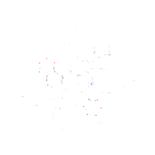 Cc1cccc(-c2cc(-c3ccccc3)cc(F)c2N(c2cc3c(c4ccccc24)-c2c(ccc4ccccc24)C3(C)C2(C)c3ccc4ccccc4c3-c3c2cc(N(c2c(F)cc(-c4ccccc4)cc2-c2cccc(C)c2C)c2cccc4c2oc2ccccc24)c2ccccc32)c2cccc3c2oc2ccccc23)c1C